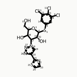 OCC1OC(Sc2cc(Cl)c(Cl)c(Cl)c2)[C@@H](O)C(n2cc(-c3nccs3)nn2)C1O